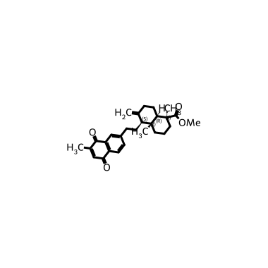 C=C1CC[C@@H]2[C@](C)(CCC[C@]2(C)C(=O)OC)[C@H]1CCc1ccc2c(c1)C(=O)C(C)=CC2=O